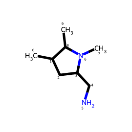 CC1CC(CN)N(C)C1C